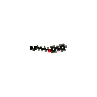 CCCCCCCCOc1ccc(/C=C/c2ccccc2)cc1